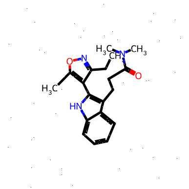 CCc1noc(C)c1-c1[nH]c2ccccc2c1CCC(=O)N(C)C